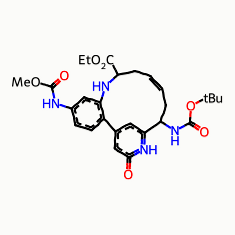 CCOC(=O)C1CC=CCC(NC(=O)OC(C)(C)C)c2cc(cc(=O)[nH]2)-c2ccc(NC(=O)OC)cc2N1